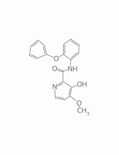 COc1ccnc(C(=O)Nc2ccccc2Oc2ccccc2)c1O